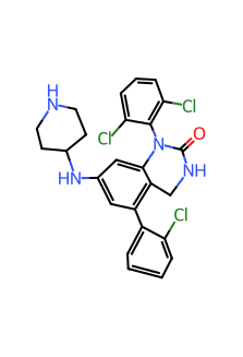 O=C1NCc2c(-c3ccccc3Cl)cc(NC3CCNCC3)cc2N1c1c(Cl)cccc1Cl